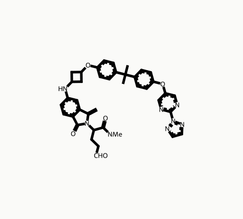 C=C1c2cc(NC3CC(Oc4ccc(C(C)(C)c5ccc(Oc6cnc(-n7nccn7)nc6)cc5)cc4)C3)ccc2C(=O)N1C(CCC=O)C(=O)NC